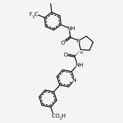 Cc1cc(NC(=O)N2CCC[C@@H]2C(=O)Nc2ccc(-c3cccc(C(=O)O)c3)cn2)ccc1C(F)(F)F